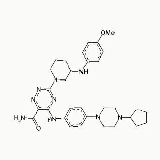 COc1ccc(NC2CCCN(c3nnc(C(N)=O)c(Nc4ccc(N5CCN(C6CCCC6)CC5)cc4)n3)C2)cc1